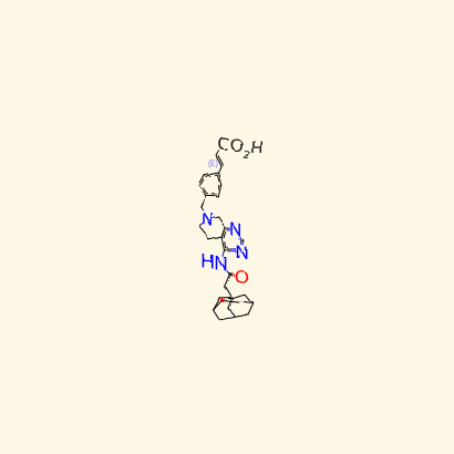 O=C(O)/C=C/c1ccc(CN2CCc3c(ncnc3NC(=O)CC34CC5CC(CC(C5)C3)C4)C2)cc1